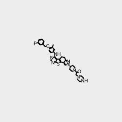 Cc1cc(Nc2ncnc3sc4c(c23)CCc2nn(C3CCN(C(=O)CN5CCNCC5)CC3)cc2-4)ccc1OCc1cccc(F)c1